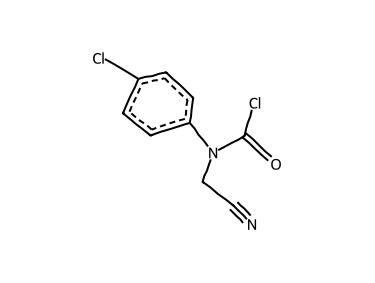 N#CCN(C(=O)Cl)c1ccc(Cl)cc1